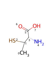 CC(S)[C@@H](N)C(=O)O